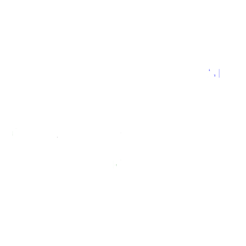 Cl.NCCC1C=CC(F)(Cl)C=C1